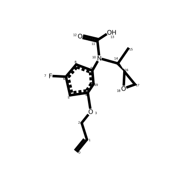 C=CCOc1cc(F)cc(N(C(=O)O)C(C)[C@H]2CO2)c1